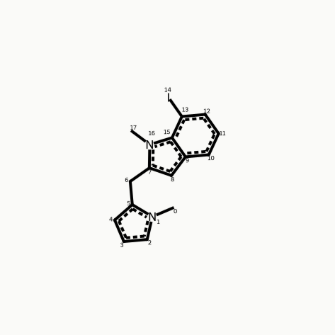 Cn1cccc1Cc1cc2cccc(I)c2n1C